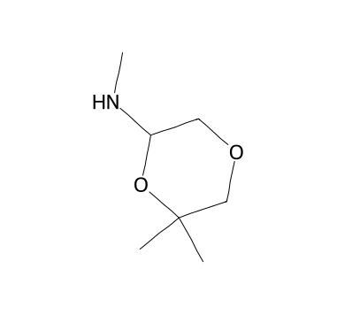 CNC1COCC(C)(C)O1